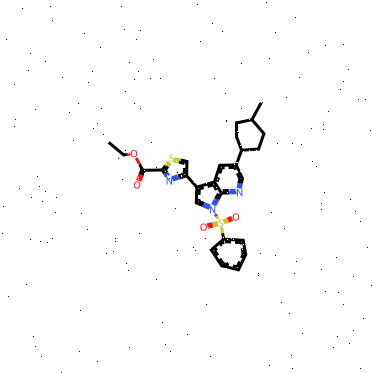 CCOC(=O)c1nc(-c2cn(S(=O)(=O)c3ccccc3)c3ncc(C4CCC(C)CC4)cc23)cs1